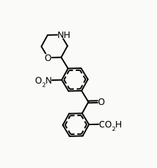 O=C(O)c1ccccc1C(=O)c1ccc(C2CNCCO2)c([N+](=O)[O-])c1